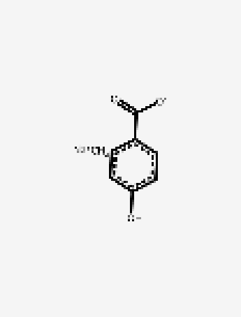 C.O=C([O-])c1ccc(O)cc1.[Na+]